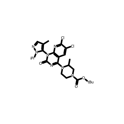 Cc1cnn(C(C)C)c1-n1c(=O)nc(N2CCN(C(=O)OC(C)(C)C)CC2C)c2cc(Cl)c(Cl)nc21